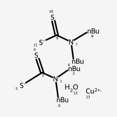 CCCCN(CCCC)C(=S)[S-].CCCCN(CCCC)C(=S)[S-].O.[Cu+2]